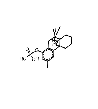 Cc1cc(OP(=O)(O)O)c2c(c1)[C@@]13CCCC[C@H]1[C@@H](C2)N(C)CC3